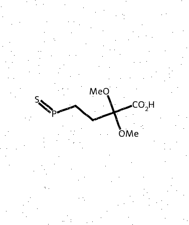 COC(CCP=S)(OC)C(=O)O